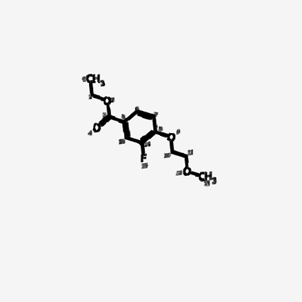 CCOC(=O)c1ccc(OCCOC)c(F)c1